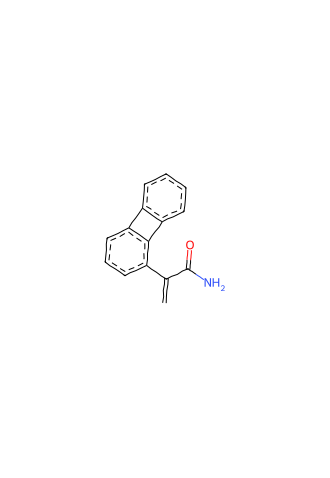 C=C(C(N)=O)c1cccc2c1-c1ccccc1-2